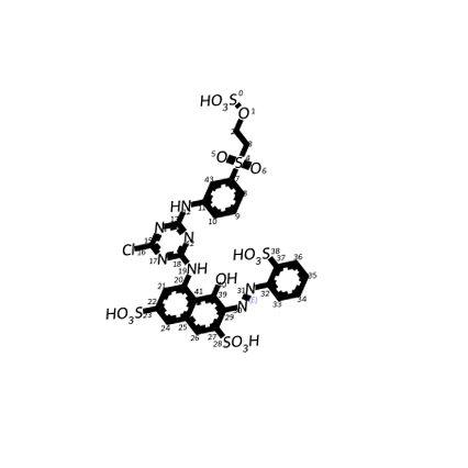 O=S(=O)(O)OCCS(=O)(=O)c1cccc(Nc2nc(Cl)nc(Nc3cc(S(=O)(=O)O)cc4cc(S(=O)(=O)O)c(/N=N/c5ccccc5S(=O)(=O)O)c(O)c34)n2)c1